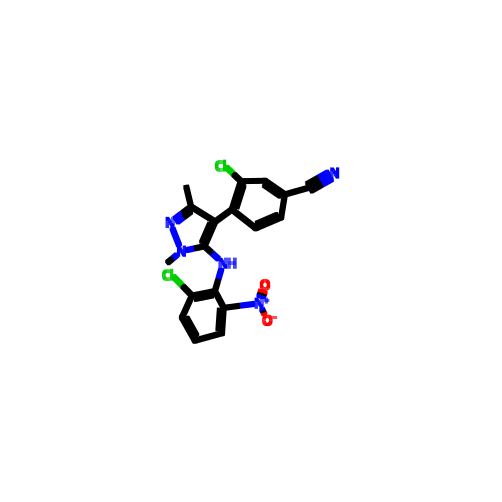 Cc1nn(C)c(Nc2c(Cl)cccc2[N+](=O)[O-])c1-c1ccc(C#N)cc1Cl